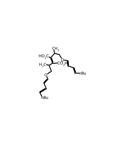 CCCCC=CC=COCC(C)C(C(=O)O)=C(C(=O)O)C(C)COC=CC=CCCCC